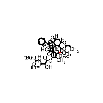 C=CC1O[C@H]2C[C@H]3OC[C@@]3(OC(C)=O)[C@H]3[C@H](OC(=O)c4ccccc4)C4(C(C)(C)O)C[C@H](OC(=O)[C@H](O)[C@H](CC(C)C)NC(=O)OC(C)(C)C)C(C)=C4[C@@](C)(OC(C)=O)[C@H](O1)[C@]23C